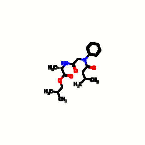 CC(C)COC(=O)[C@H](C)NC(=O)CN(C(=O)CC(C)C)c1ccccc1